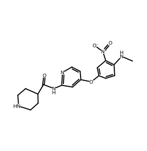 CNc1ccc(Oc2ccnc(NC(=O)C3CCNCC3)c2)cc1[N+](=O)[O-]